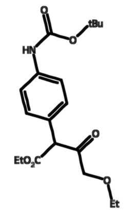 CCOCC(=O)C(C(=O)OCC)c1ccc(NC(=O)OC(C)(C)C)cc1